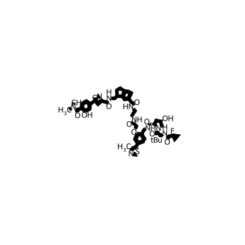 Cc1ncsc1-c1ccc(CNC(=O)[C@@H]2C[C@@H](O)CN2C(=O)C(NC(=O)C2(F)CC2)C(C)(C)C)c(OCC(=O)NCCNC(=O)c2ccc3c(c2)C(CNC(=O)c2cc(-c4ccc(C(=O)N(C)C)c(O)c4)on2)CC3)c1